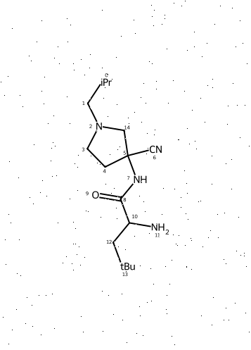 CC(C)CN1CCC(C#N)(NC(=O)C(N)CC(C)(C)C)C1